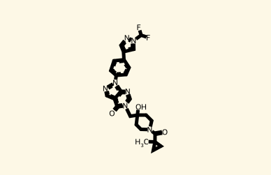 CC1(C(=O)N2CCC(O)(Cn3cnc4c(cnn4-c4ccc(-c5cnn(C(F)F)c5)cc4)c3=O)CC2)CC1